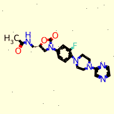 CC(=O)NC[C@H]1CN(c2ccc(N3CCN(c4cnccn4)CC3)c(F)c2)C(=O)O1